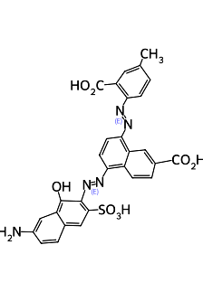 Cc1ccc(/N=N/c2ccc(/N=N/c3c(S(=O)(=O)O)cc4ccc(N)cc4c3O)c3ccc(C(=O)O)cc23)c(C(=O)O)c1